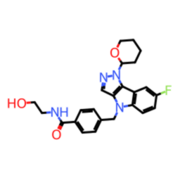 O=C(NCCO)c1ccc(Cn2c3ccc(F)cc3c3c2cnn3C2CCCCO2)cc1